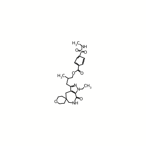 CCn1nc(CC(C)COC(=O)c2ccc(S(=O)(=O)NC)cc2)c2c1C(=O)NCC1(CCOCC1)C2